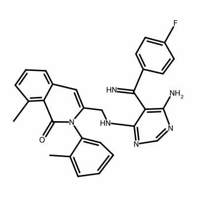 Cc1ccccc1-n1c(CNc2ncnc(N)c2C(=N)c2ccc(F)cc2)cc2cccc(C)c2c1=O